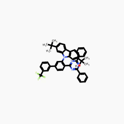 CC(C)(C)c1ccc2c3ccc(C(C)(C)C)cc3n(-c3cc(-c4cccc(C(F)(F)F)c4)ccc3-c3nc(-c4ccccc4)nc(-c4ccccc4)n3)c2c1